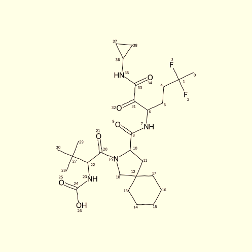 CC(F)(F)CCC(NC(=O)C1CC2(CCCCC2)CN1C(=O)C(NC(=O)O)C(C)(C)C)C(=O)C(=O)NC1CC1